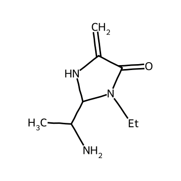 C=C1NC(C(C)N)N(CC)C1=O